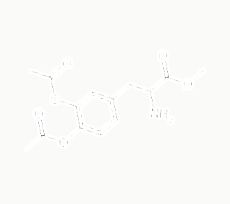 COC(=O)C(N)Cc1ccc(OC(C)=O)c(OC(C)=O)c1